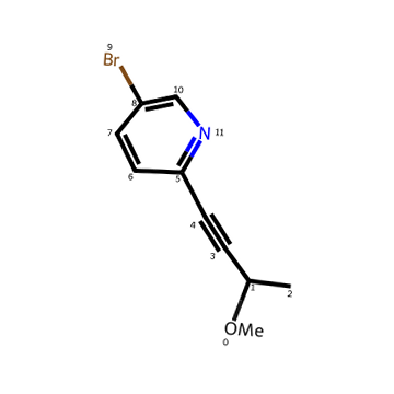 COC(C)C#Cc1ccc(Br)cn1